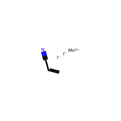 C=CC#N.[F-].[F-].[Mn+2]